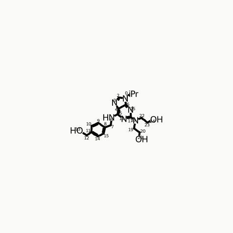 CC(C)n1cnc2c(NCc3ccc(CO)cc3)nc(N(CCO)CCO)nc21